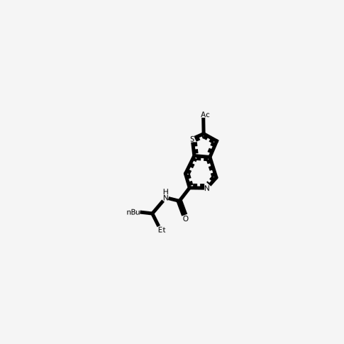 CCCCC(CC)NC(=O)c1cc2sc(C(C)=O)cc2cn1